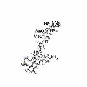 C#C/C=C\C#C[C@H](OC1CC(O)[C@H](NOC2CC[C@H](SC(=O)c3c(C)c(C)c(OC4O[C@@H](C)C(O)[C@@H](OC)[C@H]4O)c(OC)c3OC)C(C)O2)C(C)O1)C1=C(NC)C(=O)CC(C)/C1=C/CSSC(C)(C)c1ccc(N)cc1